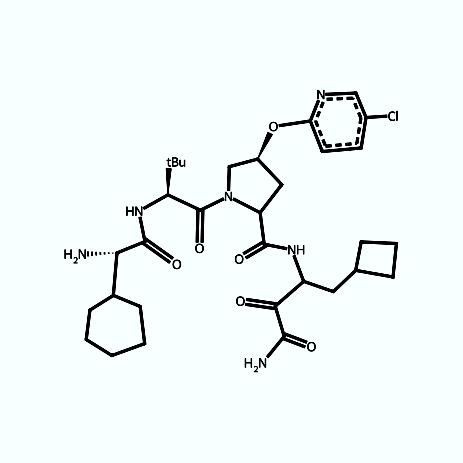 CC(C)(C)[C@H](NC(=O)[C@@H](N)C1CCCCC1)C(=O)N1C[C@@H](Oc2ccc(Cl)cn2)CC1C(=O)NC(CC1CCC1)C(=O)C(N)=O